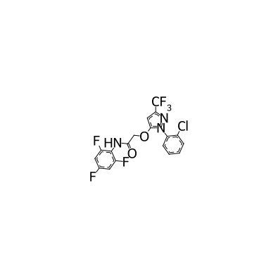 O=C(COc1cc(C(F)(F)F)nn1-c1ccccc1Cl)Nc1c(F)cc(F)cc1F